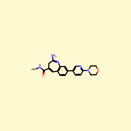 CCCNC(=O)C1=Cc2ccc(-c3ccc(N4CCOCC4)nc3)cc2N=C(N)C1